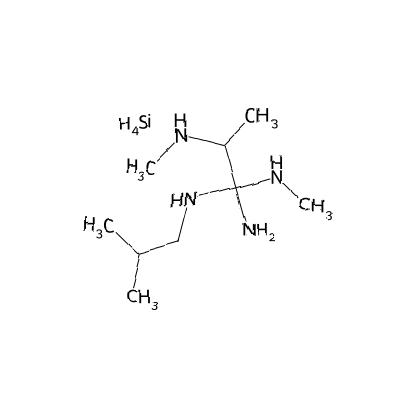 CNC(C)C(N)(NC)NCC(C)C.[SiH4]